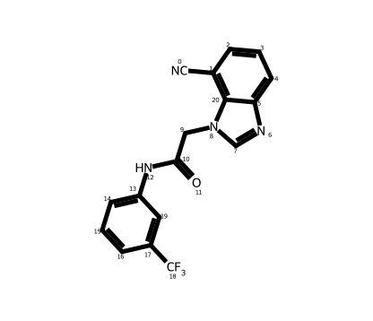 N#Cc1cccc2ncn(CC(=O)Nc3cccc(C(F)(F)F)c3)c12